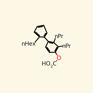 CCCCCCc1ccccc1-c1ccc(OC(=O)O)c(CCC)c1CCC